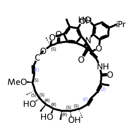 CO[C@H]1/C=C/CO[C@@]2(C)Oc3c(C)c(O)c4c(=O)c(c5oc6cc(C(C)C)cc(O)c6nc-5c4c3C2=O)NC(=O)/C(C)=C\C=C\[C@H](C)[C@H](O)[C@@H](C)[C@@H](O)[C@@H](C)[C@H](O)[C@@H]1C